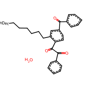 CCCCCCCCCCCCCCCCc1cc(C(=O)c2ccccc2)ccc1C(=O)C(=O)c1ccccc1.O